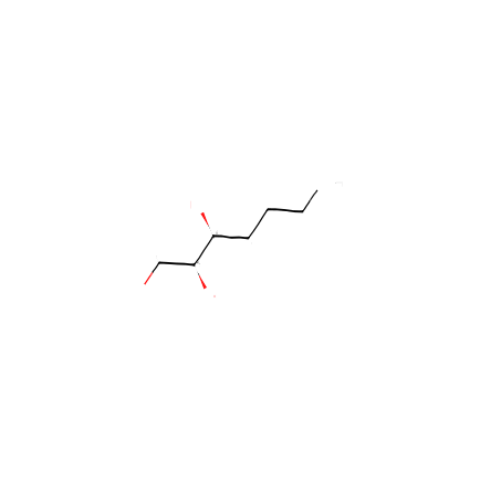 CCCCCCCC[C@H](O)[C@@H](O)CO